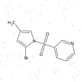 [CH2]c1cc(Br)n(S(=O)(=O)c2cccnc2)c1